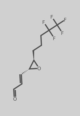 O=C/C=C/[C@H]1O[C@@H]1CCCC(F)(F)C(F)(F)F